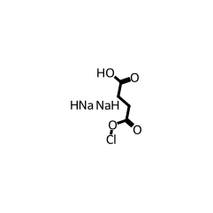 O=C(O)CCC(=O)OCl.[NaH].[NaH]